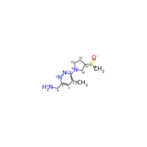 Cc1cc(CN)nnc1N1CCC([S+](C)[O-])C1